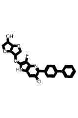 OC1COC2C(Oc3[nH]c4cc(Cl)c(-c5ccc(-c6ccccc6)cc5)nc4c3F)COC12